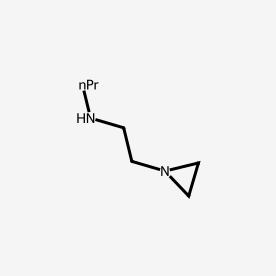 CCCNCCN1CC1